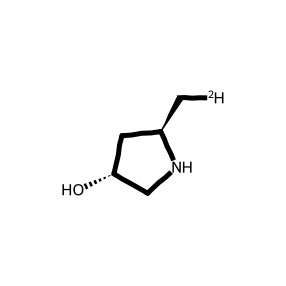 [2H]C[C@@H]1C[C@@H](O)CN1